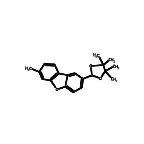 Cc1ccc2c(c1)oc1ccc(B3OC(C)(C)C(C)(C)O3)cc12